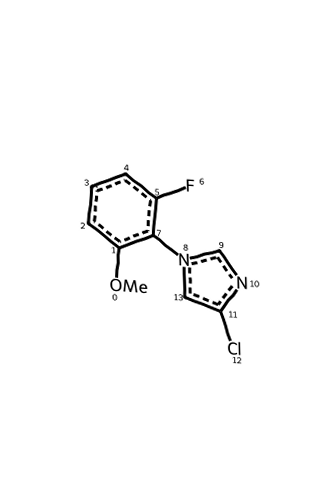 COc1c[c]cc(F)c1-n1cnc(Cl)c1